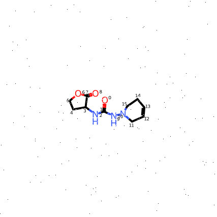 O=C(NC1CCOC1=O)NN1CC=CCC1